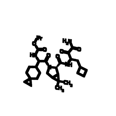 CC(C)OC(=O)NC(C(=O)N1CC2C([C@H]1C(=O)NC(CC1CCC1)C(=O)C(N)=O)C2(C)C)C1CCC2(CC1)CC2